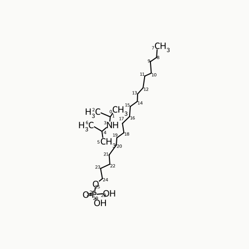 CC(C)NC(C)C.CCCCCCCCCCCCCCCCCCOP(=O)(O)O